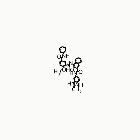 C=C1Nc2ccc(NC(=O)c3cc4ccccc4c(/N=N/c4cc(C(=O)Nc5ccccc5)ccc4OC)c3O)cc2N1